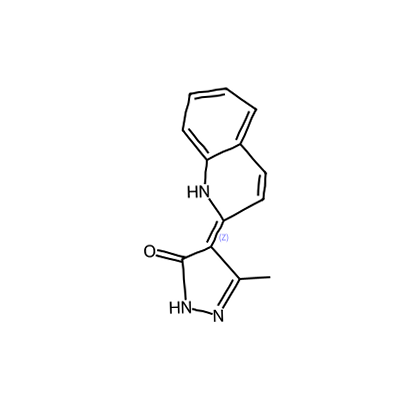 CC1=NNC(=O)/C1=C1/C=Cc2ccccc2N1